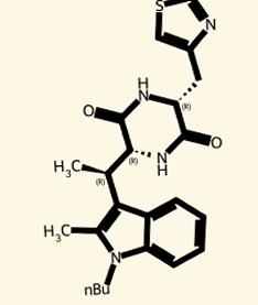 CCCCn1c(C)c([C@@H](C)[C@H]2NC(=O)[C@@H](Cc3cscn3)NC2=O)c2ccccc21